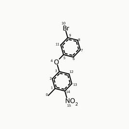 Cc1cc(Oc2cccc(Br)c2)ccc1[N+](=O)[O-]